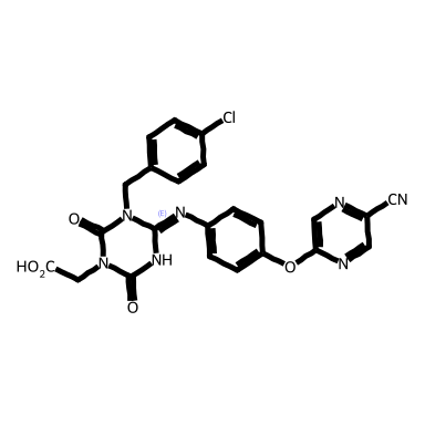 N#Cc1cnc(Oc2ccc(/N=c3\[nH]c(=O)n(CC(=O)O)c(=O)n3Cc3ccc(Cl)cc3)cc2)cn1